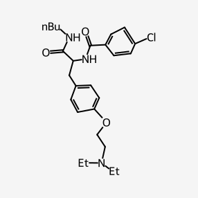 CCCCNC(=O)C(Cc1ccc(OCCN(CC)CC)cc1)NC(=O)c1ccc(Cl)cc1